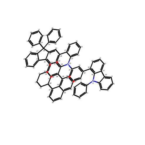 c1ccc(-n2c3ccccc3c3cccc(-c4cccc(N(c5ccccc5-c5ccc6c(c5)C(c5ccccc5)(c5ccccc5)c5ccccc5-6)c5ccccc5-c5cccc6cccc(C7CCCCC7)c56)c4)c32)cc1